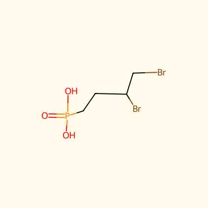 O=P(O)(O)CCC(Br)CBr